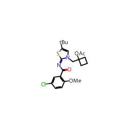 COc1ccc(Cl)cc1C(=O)N=c1sc(C(C)(C)C)cn1CC1(OC(C)=O)CCC1